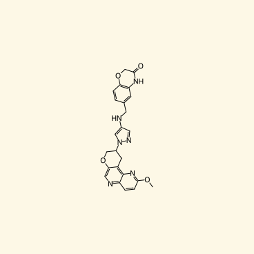 COc1ccc2ncc3c(c2n1)CC(n1cc(NCc2ccc4c(c2)NC(=O)CO4)cn1)CO3